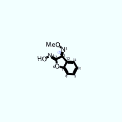 CO/N=C1\C(=NO)Oc2ccccc21